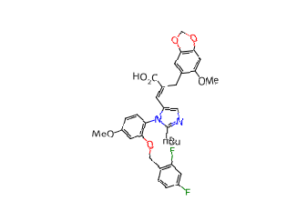 CCCCc1ncc(/C=C(\Cc2cc3c(cc2OC)OCO3)C(=O)O)n1-c1ccc(OC)cc1OCc1ccc(F)cc1F